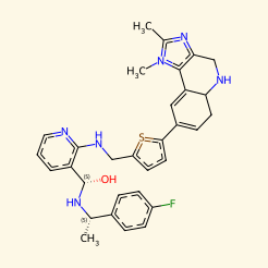 Cc1nc2c(n1C)C1=CC(c3ccc(CNc4ncccc4[C@H](O)N[C@@H](C)c4ccc(F)cc4)s3)=CCC1NC2